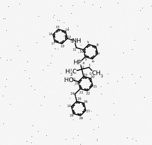 CCC(C)(Pc1ccccc1CNc1ccccc1)c1cccc(Cc2ccccc2)c1O